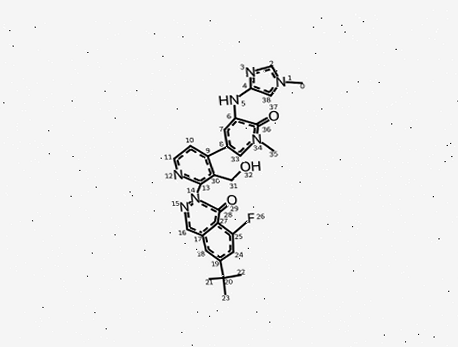 Cn1cnc(Nc2cc(-c3ccnc(-n4ncc5cc(C(C)(C)C)cc(F)c5c4=O)c3CO)cn(C)c2=O)c1